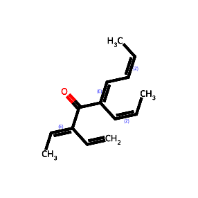 C=C/C(=C\C)C(=O)C(/C=C\C)=C/C=C\C